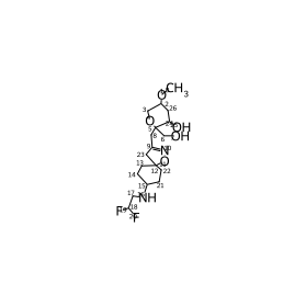 COC1COC(CO)(CC2=NOC3(CCC(NCC(F)F)CC3)C2)C(O)C1